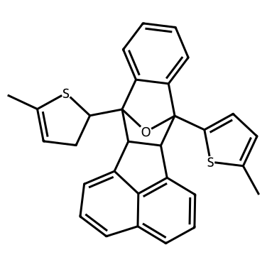 CC1=CCC(C23OC(c4ccc(C)s4)(c4ccccc42)C2c4cccc5cccc(c45)C23)S1